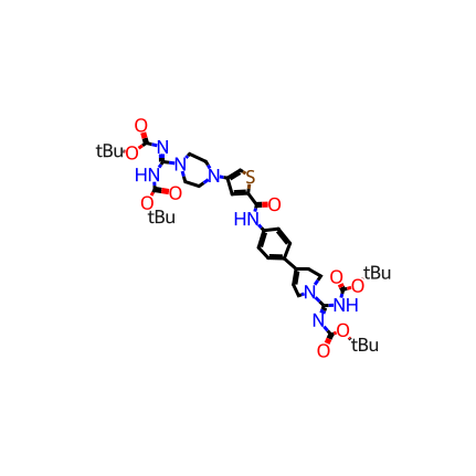 CC(C)(C)OC(=O)N=C(NC(=O)OC(C)(C)C)N1CC=C(c2ccc(NC(=O)c3cc(N4CCN(C(=NC(=O)OC(C)(C)C)NC(=O)OC(C)(C)C)CC4)cs3)cc2)CC1